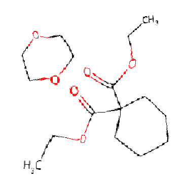 C1COCCO1.CCOC(=O)C1(C(=O)OCC)CCCCC1